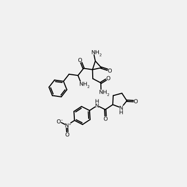 NC(=O)CC1(C(=O)C(N)Cc2ccccc2)C(=O)C1N.O=C1CCC(C(=O)Nc2ccc([N+](=O)[O-])cc2)N1